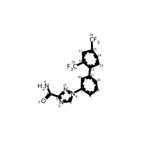 NC(=O)c1ncn(-c2cccc(-c3ccc(C(F)(F)F)cc3C(F)(F)F)c2)n1